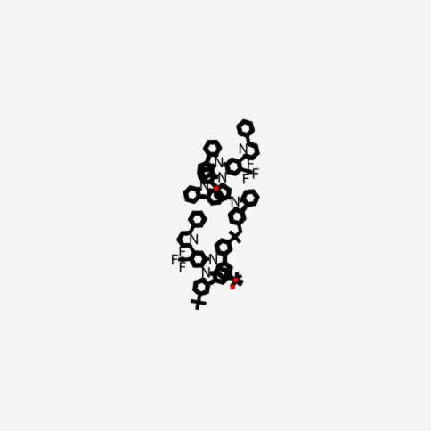 CC(C)(C)c1ccc2c(c1)c1cc(C(C)(C)C)ccc1n2-c1cc(C(F)(F)F)c(-c2cccc(-c3ccccc3)n2)cc1-n1c2ccc(C(C)(C)C)cc2c2cc(C(C)(C)Cc3ccc4c(c3)c3ccccc3n4-c3ccc4c5ccccc5n(-c5cc(C(F)(F)F)c(-c6cccc(-c7ccccc7)n6)cc5-n5c6ccccc6c6ccc(-n7c8ccccc8c8ccccc87)cc65)c4c3)ccc21